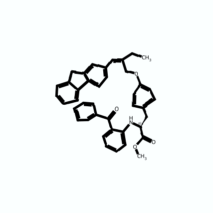 CCC(=Cc1ccc2c(c1)Cc1ccccc1-2)COc1ccc(C[C@H](Nc2ccccc2C(=O)c2ccccc2)C(=O)OC)cc1